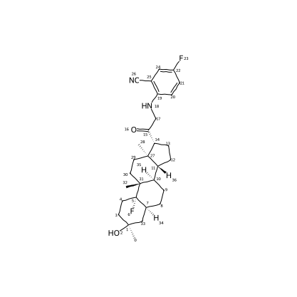 C[C@]1(O)CC[C@]2(F)[C@@H](CC[C@@H]3[C@H]4CC[C@@H](C(=O)CNc5ccc(F)cc5C#N)[C@]4(C)CC[C@]32C)C1